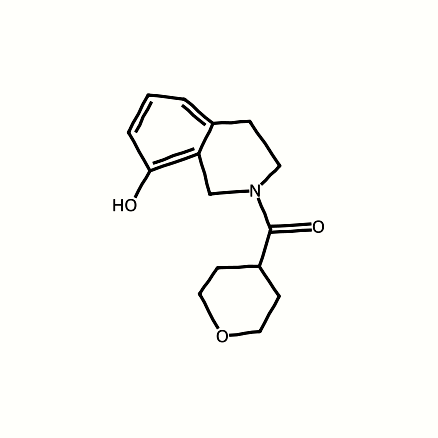 O=C(C1CCOCC1)N1CCc2cccc(O)c2C1